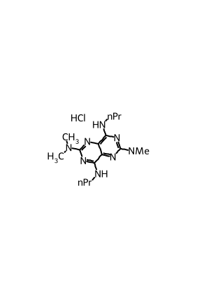 CCCNc1nc(N(C)C)nc2c(NCCC)nc(NC)nc12.Cl